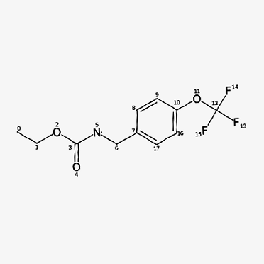 CCOC(=O)[N]Cc1ccc(OC(F)(F)F)cc1